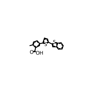 Cc1ccc(-c2ccc(-c3cc4ccccc4s3)s2)cc1C(=O)O